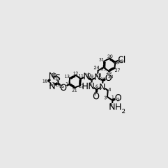 NC(=O)CCn1c(=O)[nH]/c(=N\c2ccc(Oc3ncns3)cc2)n(Cc2ccc(Cl)cc2)c1=O